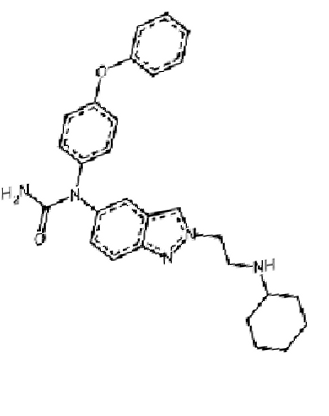 NC(=O)N(c1ccc(Oc2ccccc2)cc1)c1ccc2nn(CCNC3CCCCC3)cc2c1